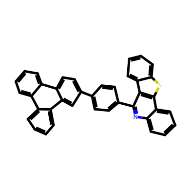 c1ccc2c(c1)nc(-c1ccc(-c3ccc4c5ccccc5c5ccccc5c4c3)cc1)c1c3ccccc3sc21